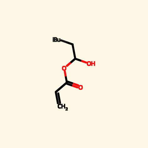 C=CC(=O)OC(O)CC(C)CC